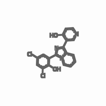 Oc1ccncc1-c1nc(-c2cc(Cl)cc(Cl)c2O)n2ccccc12